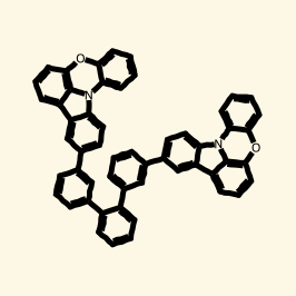 c1cc(-c2ccc3c(c2)c2cccc4c2n3-c2ccccc2O4)cc(-c2ccccc2-c2cccc(-c3ccc4c(c3)c3cccc5c3n4-c3ccccc3O5)c2)c1